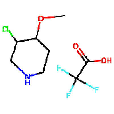 COC1CCNCC1Cl.O=C(O)C(F)(F)F